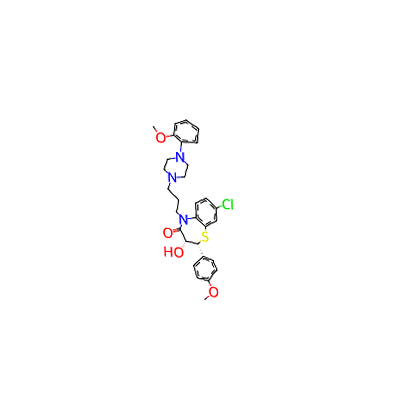 COc1ccc([C@H]2Sc3cc(Cl)ccc3N(CCCN3CCN(c4ccccc4OC)CC3)C(=O)[C@H]2O)cc1